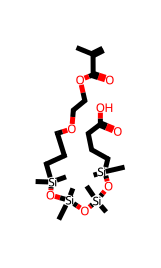 C=C(C)C(=O)OCCOCCC[Si](C)(C)O[Si](C)(C)O[Si](C)(C)O[Si](C)(C)CCCC(=O)O